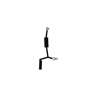 C=CC(O)C#CBr